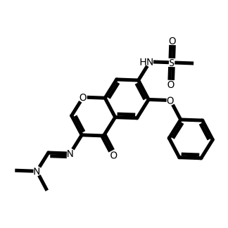 CN(C)C=Nc1coc2cc(NS(C)(=O)=O)c(Oc3ccccc3)cc2c1=O